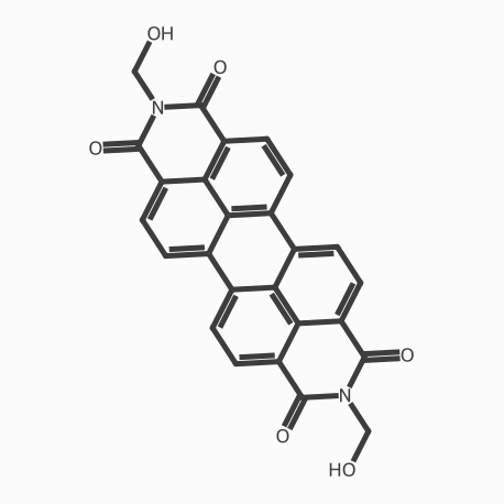 O=C1c2ccc3c4ccc5c6c(ccc(c7ccc(c2c37)C(=O)N1CO)c64)C(=O)N(CO)C5=O